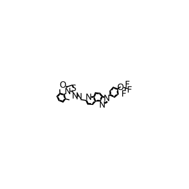 Cc1cccc(C)c1N1C(=O)CSC1=NN=Cc1ccc2c(ccc3c2ncn3-c2ccc(OC(F)(F)F)cc2)n1